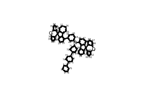 c1ccc(-c2ccc(-c3ccc(N(c4cccc(-c5cccc6c5-c5ccccc5C65c6ccccc6Oc6ccccc65)c4)c4cccc5c4-c4ccccc4C54c5ccccc5Oc5ccccc54)cc3)cc2)cc1